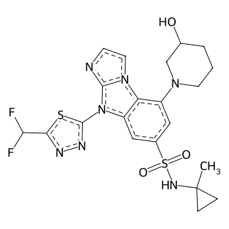 CC1(NS(=O)(=O)c2cc(N3CCCC(O)C3)c3c(c2)n(-c2nnc(C(F)F)s2)c2nccn32)CC1